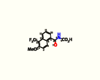 COc1ccc2c(C(=O)NC(=O)O)cccc2c1C(F)(F)F